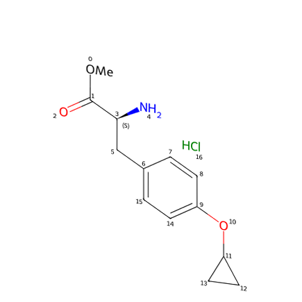 COC(=O)[C@@H](N)Cc1ccc(OC2CC2)cc1.Cl